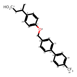 CC(CC(=O)O)c1ccc(OCc2ccc(-c3ccc(C(F)(F)F)cc3)cc2)cc1